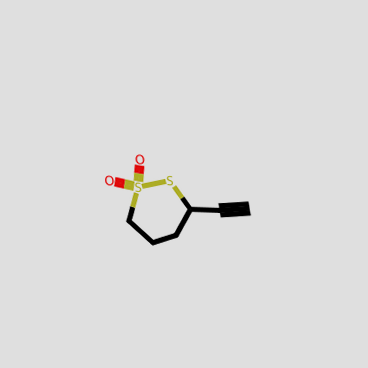 C#CC1CCCS(=O)(=O)S1